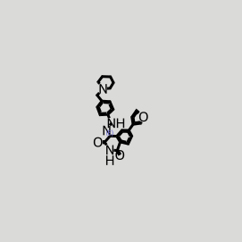 O=C1NC(=O)c2ccc(-c3ccoc3)cc2/C1=N\Nc1ccc(CN2CCCCC2)cc1